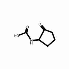 O=C(O)NC1CCCC1=O